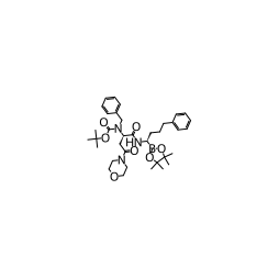 CC(C)(C)OC(=O)N(Cc1ccccc1)[C@H](CC(=O)N1CCOCC1)C(=O)N[C@@H](CCCc1ccccc1)B1OC(C)(C)C(C)(C)O1